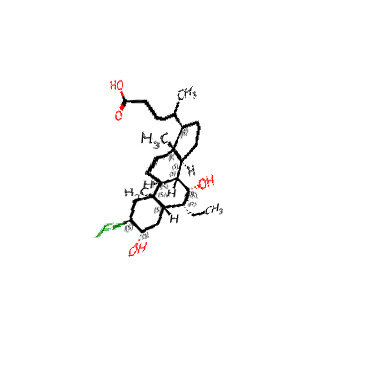 CC[C@H]1[C@@H](O)[C@@H]2[C@H](CC[C@]3(C)[C@@H](C(C)CCC(=O)O)CC[C@@H]23)[C@@]2(C)C[C@H](F)[C@@H](O)C[C@@H]12